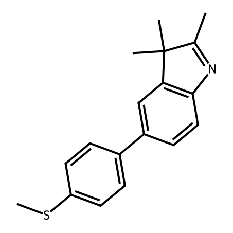 CSc1ccc(-c2ccc3c(c2)C(C)(C)C(C)=N3)cc1